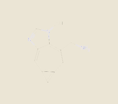 Cn1cnc2c1=C(CN)CC1=CC1C=2